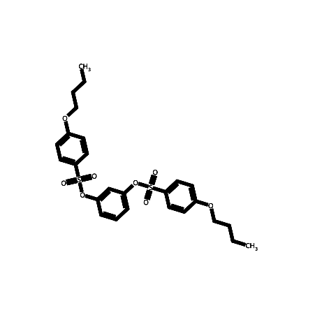 CCCCOc1ccc(S(=O)(=O)Oc2cccc(OS(=O)(=O)c3ccc(OCCCC)cc3)c2)cc1